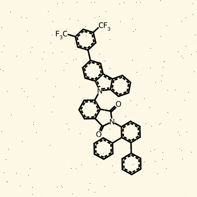 O=C1c2cccc(-n3c4ccccc4c4cc(-c5cc(C(F)(F)F)cc(C(F)(F)F)c5)ccc43)c2C(=O)N1c1cccc(-c2ccccc2)c1-c1ccccc1